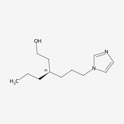 CCC[C@@H](CCO)CCCn1ccnc1